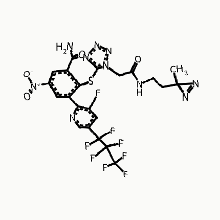 CC1(CCNC(=O)Cn2nnnc2Sc2c(C(N)=O)cc([N+](=O)[O-])cc2-c2ncc(C(F)(F)C(F)(F)C(F)(F)F)cc2F)N=N1